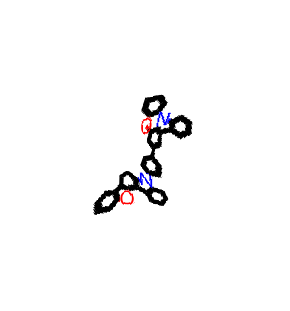 c1ccc2c(c1)Oc1cc(-c3ccc(-n4c5ccccc5c5c6oc7ccccc7c6ccc54)cc3)cc3c4ccccc4n-2c13